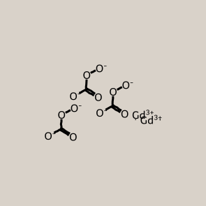 O=C([O-])O[O-].O=C([O-])O[O-].O=C([O-])O[O-].[Gd+3].[Gd+3]